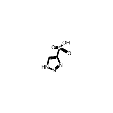 O=S(=O)(O)c1c[nH]nn1